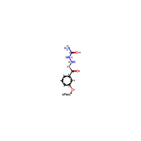 CCCCCOc1cccc(C(=O)SNNC(N)=O)c1